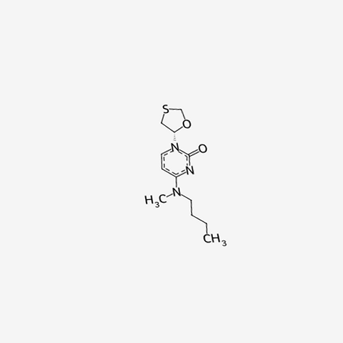 CCCCN(C)c1ccn([C@@H]2CSCO2)c(=O)n1